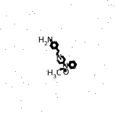 CCC(=O)N(c1ccccc1)C1CCN(CCc2ccc(N)cc2)CC1